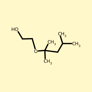 CC(C)CC(C)(C)OCCO